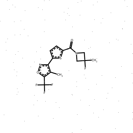 Cc1c(-c2ccc(C(=O)N3CC(C)(F)C3)s2)noc1C(F)(F)F